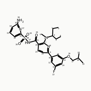 CCC(CC)N(C)c1nc(-c2cc(F)cc(OCC(C)C)c2)ccc1C(=O)NS(=O)(=O)c1cccc(N)n1